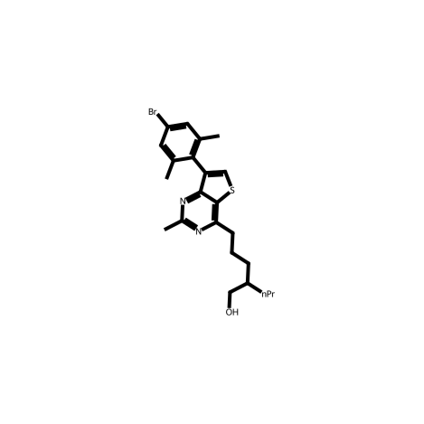 CCCC(CO)CCCc1nc(C)nc2c(-c3c(C)cc(Br)cc3C)csc12